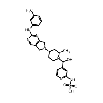 Cc1cccc(Nc2ncc3c(n2)CN([C@@H]2CCN(C(O)c4ccnc(NS(C)(=O)=O)c4)[C@H](C)C2)C3)c1